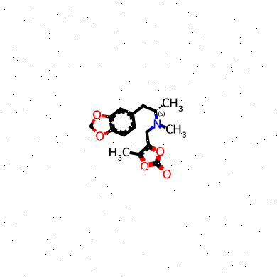 Cc1oc(=O)oc1CN(C)[C@@H](C)Cc1ccc2c(c1)OCO2